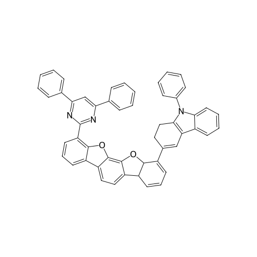 C1=CC2c3ccc4c(oc5c(-c6nc(-c7ccccc7)cc(-c7ccccc7)n6)cccc54)c3OC2C(C2=Cc3c(n(-c4ccccc4)c4ccccc34)CC2)=C1